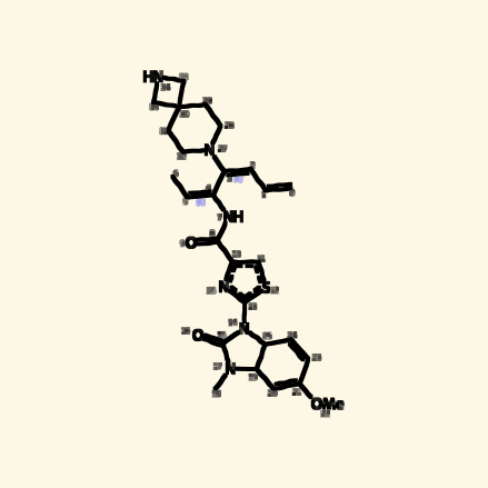 C=C/C=C(\C(=C/C)NC(=O)c1csc(N2C(=O)N(C)C3C=C(OC)C=CC32)n1)N1CCC2(CC1)CNC2